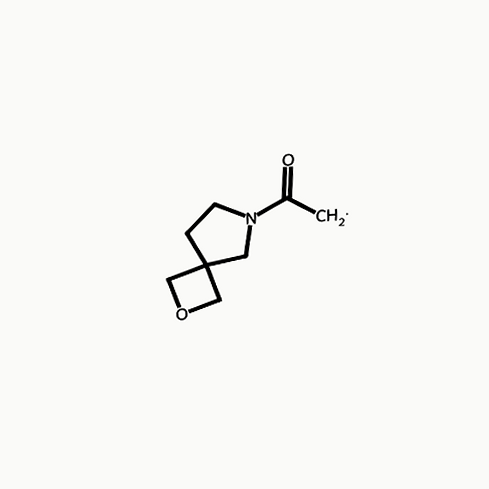 [CH2]C(=O)N1CCC2(COC2)C1